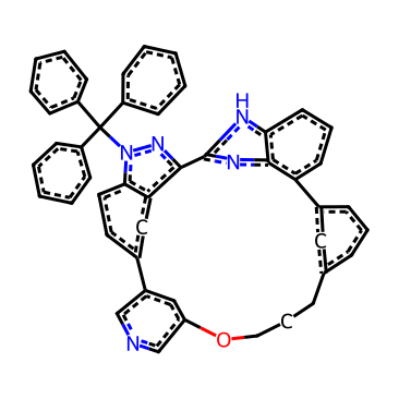 c1ccc(C(c2ccccc2)(c2ccccc2)n2nc3c4cc(ccc42)-c2cncc(c2)OCCCc2cccc(c2)-c2cccc4[nH]c-3nc24)cc1